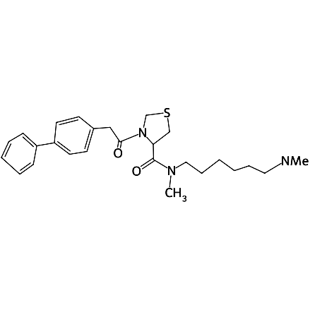 CNCCCCCCN(C)C(=O)C1CSCN1C(=O)Cc1ccc(-c2ccccc2)cc1